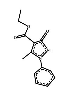 CCOC(=O)c1c(C)n(-c2ccccc2)[nH]c1=O